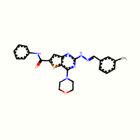 Cc1cccc(/C=N/Nc2nc(N3CCOCC3)c3sc(C(=O)Nc4ccccc4)cc3n2)c1